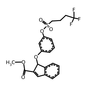 COC(=O)C1=Cc2ccccc2C1Oc1cccc(OS(=O)(=O)CCCC(F)(F)F)c1